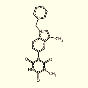 Cc1cn(Cc2ccccc2)c2ccc(-n3c(=O)[nH]c(=O)n(C)c3=O)cc12